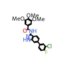 COc1cc(C(=O)Nc2n[nH]c3cc(-c4ccc(F)c(Cl)c4)ccc23)cc(OC)c1OC